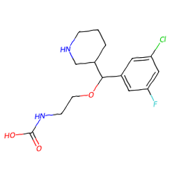 O=C(O)NCCOC(c1cc(F)cc(Cl)c1)C1CCCNC1